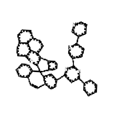 C1=Cc2ccc(-c3cc(-c4ccccc4)nc(-c4ccc(-c5cccnc5)nc4)n3)cc2C2(c3ccccc31)c1ccccc1-c1c2cc2ccc3cccc4ccc1c2c34